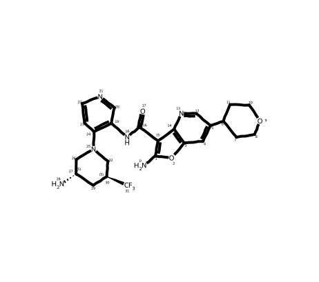 Nc1oc2cc(C3CCOCC3)cnc2c1C(=O)Nc1cnccc1N1C[C@@H](N)C[C@H](C(F)(F)F)C1